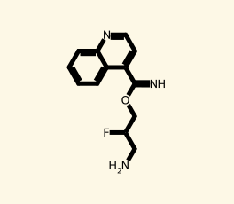 N=C(OCC(F)CN)c1ccnc2ccccc12